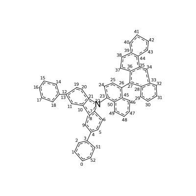 c1ccc(-c2ccc3c(c2)c2cc(-c4ccccc4)ccc2n3-c2ccc(-c3c4ccccc4cc4c3ccc3ccccc34)c3ccccc23)cc1